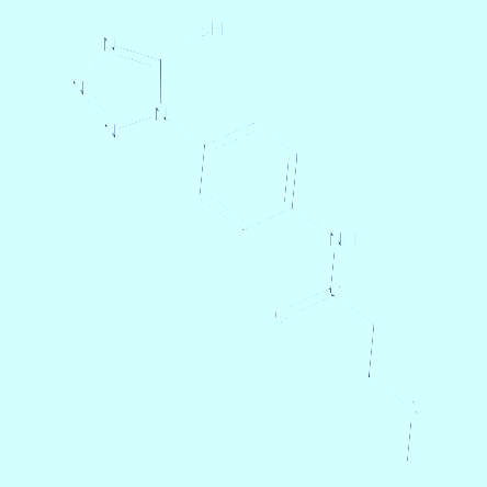 CSCCC(=O)Nc1ccc(-n2nnnc2S)cc1